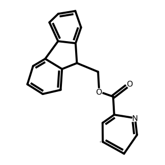 O=C(OCC1c2ccccc2-c2ccccc21)c1c[c]ccn1